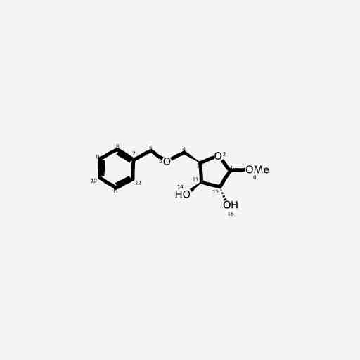 COC1O[C@H](COCc2ccccc2)[C@H](O)[C@H]1O